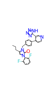 CCCc1cn(-c2c(F)cccc2F)c(=O)n1Cc1ccc(-c2ccncc2-c2nnn[nH]2)cc1